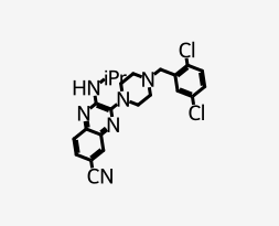 CC(C)Nc1nc2ccc(C#N)cc2nc1N1CCN(Cc2cc(Cl)ccc2Cl)CC1